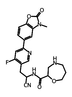 Cn1c(=O)oc2ccc(-c3cc(F)c(CC(C#N)NC(=O)C4CNCCCO4)cn3)cc21